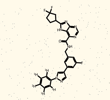 [2H]c1c([2H])c([2H])c(-n2cc(-c3cc(F)cc(CNC(=O)c4ncnc5nc(C6CCC(F)(F)C6)[nH]c45)c3)cn2)c([2H])c1[2H]